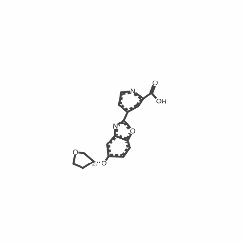 O=C(O)c1cc(-c2nc3cc(O[C@@H]4CCOC4)ccc3o2)ccn1